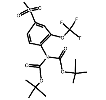 CC(C)(C)OC(=O)N(C(=O)OC(C)(C)C)c1ccc(S(C)(=O)=O)cc1OC(F)(F)F